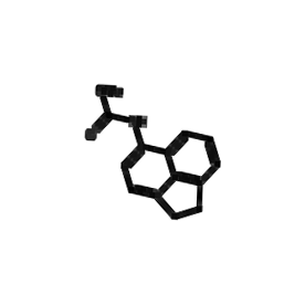 COC(=O)Nc1ccc2c3c(cccc13)CC2